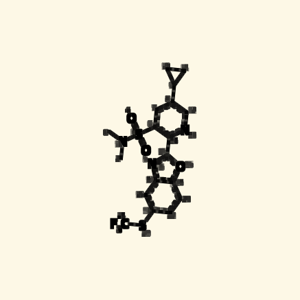 CN(C)S(=O)(=O)c1cc(C2CC2)cnc1-c1nc2cc(SC(F)(F)F)ccc2o1